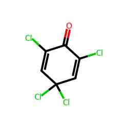 O=C1C(Cl)=CC(Cl)(Cl)C=C1Cl